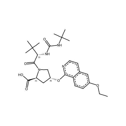 CCOc1ccc2c(O[C@@H]3C[C@@H](C(=O)O)N(C(=O)[C@@H](NC(=O)NC(C)(C)C)C(C)(C)C)C3)nccc2c1